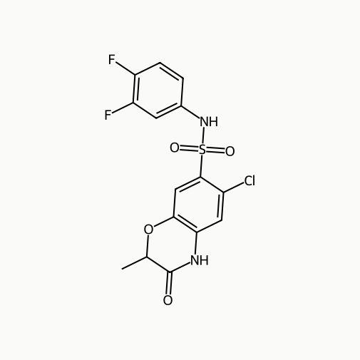 CC1Oc2cc(S(=O)(=O)Nc3ccc(F)c(F)c3)c(Cl)cc2NC1=O